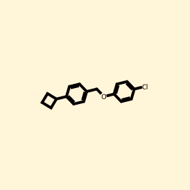 Clc1ccc(OCc2ccc(C3CCC3)cc2)cc1